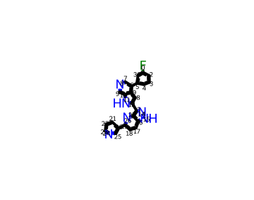 Fc1cccc(-c2cncc3[nH]c(-c4n[nH]c5ccc(-c6cccnc6)nc45)cc23)c1